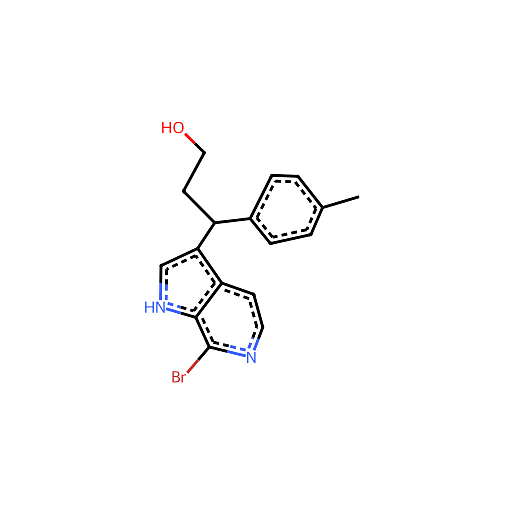 Cc1ccc(C(CCO)c2c[nH]c3c(Br)nccc23)cc1